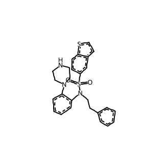 O=S(=O)(c1ccc2sccc2c1)N(CCc1ccccc1)c1ccccc1N1CCNCC1